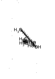 CCC(P(=O)=O)[N+](C)(C)C.CCCCCCCCCCCCCCCCCC(=O)C(O)CCO